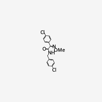 CON=C(C(=O)NCc1ccc(Cl)cc1)c1ccc(Cl)cc1